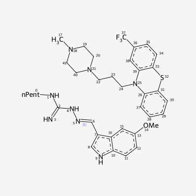 CCCCCNC(=N)N/N=C/c1c[nH]c2ccc(OC)cc12.CN1CCN(CCCN2c3ccccc3Sc3ccc(C(F)(F)F)cc32)CC1